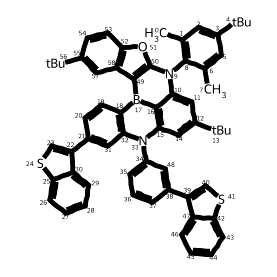 Cc1cc(C(C)(C)C)cc(C)c1N1c2cc(C(C)(C)C)cc3c2B(c2ccc(-c4csc5ccccc45)cc2N3c2cccc(-c3csc4ccccc34)c2)c2c1oc1ccc(C(C)(C)C)cc21